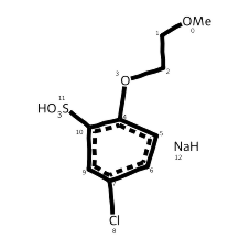 COCCOc1ccc(Cl)cc1S(=O)(=O)O.[NaH]